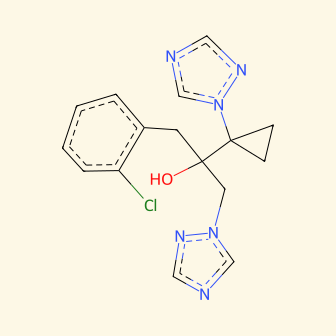 OC(Cc1ccccc1Cl)(Cn1cncn1)C1(n2cncn2)CC1